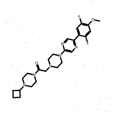 COc1cc(F)c(-c2cnc(N3CCN(CC(=O)N4CCN(C5CCC5)CC4)CC3)cn2)cc1F